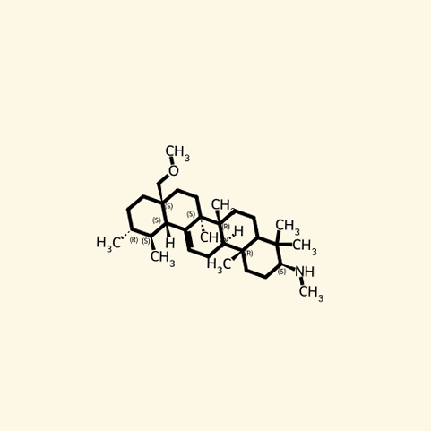 CN[C@H]1CC[C@@]2(C)C(CC[C@]3(C)[C@@H]2CC=C2[C@@H]4[C@@H](C)[C@H](C)CC[C@]4(COC)CC[C@]23C)C1(C)C